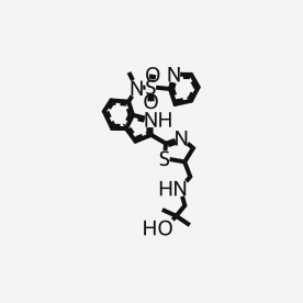 CN(c1cccc2cc(C3=NCC(CNCC(C)(C)O)S3)[nH]c12)S(=O)(=O)c1ccccn1